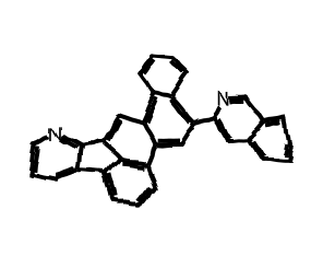 c1cnc2c(c1)-c1cccc3c1c-2cc1c2ccccc2c(-c2cc4ccccc4cn2)cc31